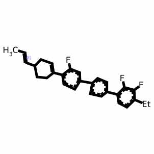 C/C=C/C1CC=C(c2ccc(-c3ccc(-c4ccc(CC)c(F)c4F)cc3)cc2F)CC1